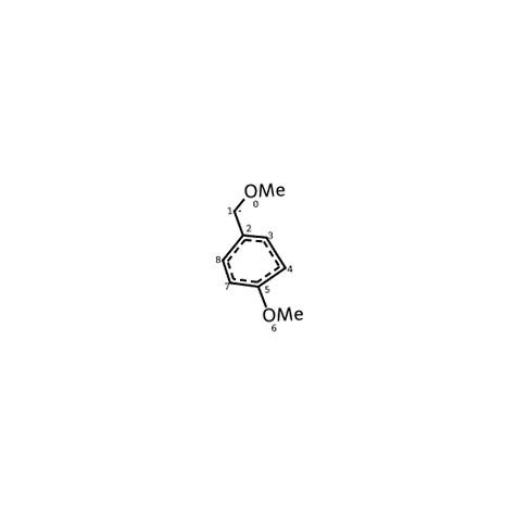 CO[CH]c1ccc(OC)cc1